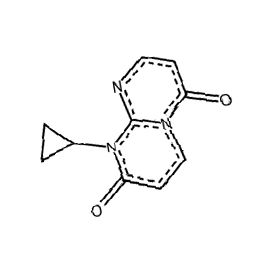 O=c1ccn2c(=O)ccnc2n1C1CC1